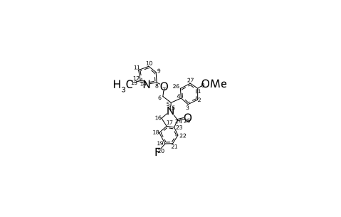 COc1ccc(C(COc2cccc(C)n2)N2Cc3cc(F)ccc3C2=O)cc1